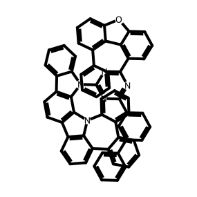 c1ccc(-c2cccc(-c3nc(-c4cccc5oc6cccc(-c7ccccc7)c6c45)nc(-n4c5ccccc5c5ccc6c7cccc8c7n(c6c54)-c4ccccc4-c4ccccc4-8)n3)c2)cc1